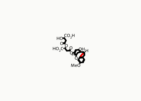 COc1ccc2c3c1O[C@@H]1C[C@@](O)(CC=C1OC(=O)C[C@H](OC(=O)C[C@H](O)C(=O)O)C(=O)O)[C@H](CCCC3)C2